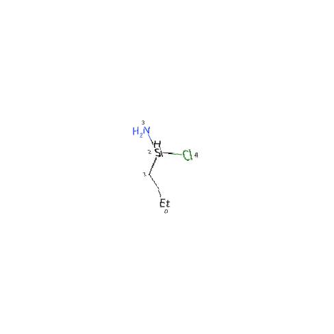 CCC[SiH](N)Cl